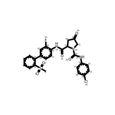 CS(=O)(=O)c1ccccc1-c1ccc(NC(=O)C2CC(=O)CN2C(=O)Nc2ccc(Cl)cc2)c(F)c1